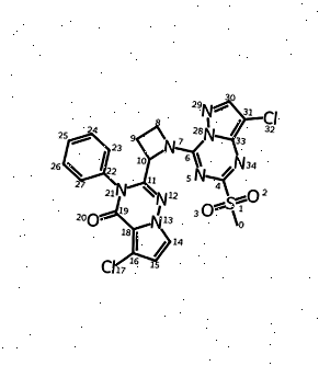 CS(=O)(=O)c1nc(N2CCC2c2nn3ccc(Cl)c3c(=O)n2-c2ccccc2)n2ncc(Cl)c2n1